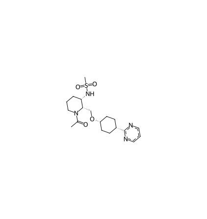 CC(=O)N1CCC[C@H](NS(C)(=O)=O)[C@@H]1CO[C@H]1CC[C@@H](c2ncccn2)CC1